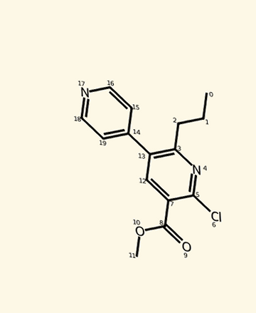 CCCc1nc(Cl)c(C(=O)OC)cc1-c1ccncc1